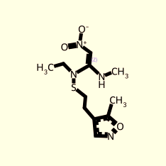 CCN(SCCc1cnoc1C)/C(=C\[N+](=O)[O-])NC